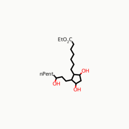 CCCCCC(O)CCC1C(O)CC(O)C1CCCCCCC(=O)OCC